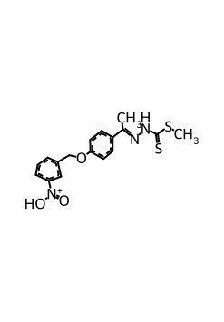 CSC(=S)N/N=C(\C)c1ccc(OCc2cccc([N+](=O)O)c2)cc1